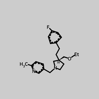 CCOC[C@@]1(CCc2ccc(F)cc2)CCN(Cc2ccc(C)nc2)C1